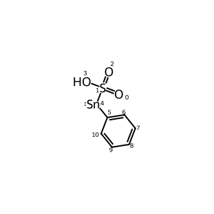 O=[S](=O)(O)[Sn][c]1ccccc1